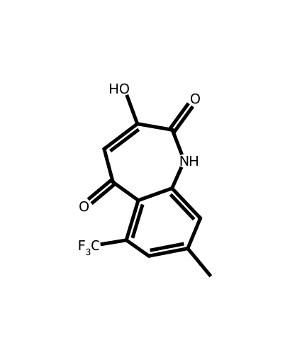 Cc1cc(C(F)(F)F)c2c(=O)cc(O)c(=O)[nH]c2c1